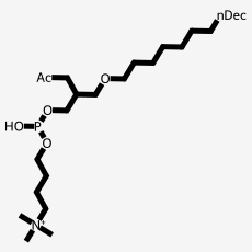 CCCCCCCCCCCCCCCCCOCC(COP(O)OCCCC[N+](C)(C)C)CC(C)=O